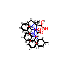 CC1C=CC=C(N(C(=O)N2C[C@@H]3CC[C@H]([C@H]2C(=O)O)N3C(=O)N(Cc2ccccc2)Cc2ccccc2)c2ccccc2)C1